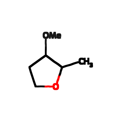 COC1CCOC1C